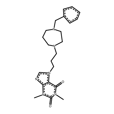 Cn1c(=O)c2c(ncn2CCCN2CCCN(Cc3ccccc3)CC2)n(C)c1=O